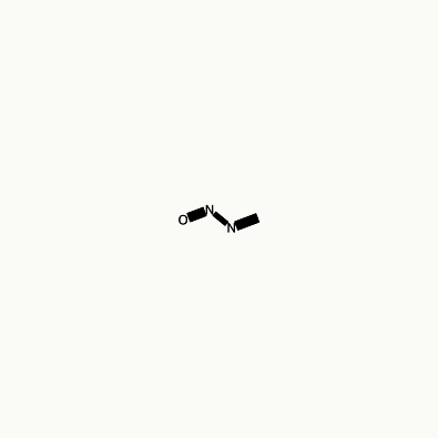 C=NN=O